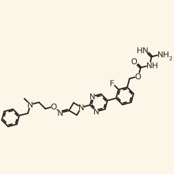 CN(CCON=C1CN(c2ncc(-c3cccc(COC(=O)NC(=N)N)c3F)cn2)C1)Cc1ccccc1